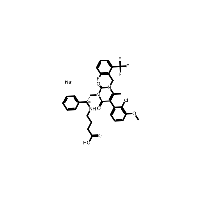 COc1cccc(-c2c(C)n(Cc3c(F)cccc3C(F)(F)F)c(=O)n(C[C@H](NCCCC(=O)O)c3ccccc3)c2=O)c1Cl.[Na]